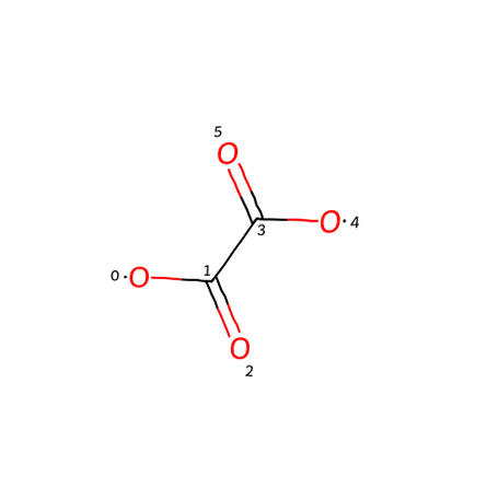 [O]C(=O)C([O])=O